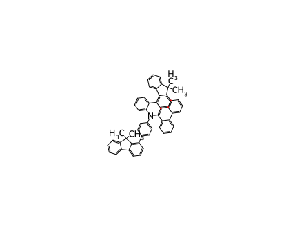 CC1(C)c2ccccc2-c2c(-c3ccccc3N(c3ccc(-c4cccc5c4C(C)(C)c4ccccc4-5)cc3)c3cc4ccccc4c4ccccc34)cccc21